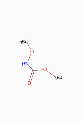 CCCCONC(=O)OC(C)(C)C